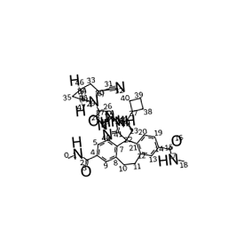 CNC(=O)c1ccc2c(c1)CCc1cc(C(=O)NC)ccc1C2(C[C@@H](NCC(=O)N1[C@H](C#N)C[C@@H]2C[C@@H]21)C1CCC1)c1nnn[nH]1